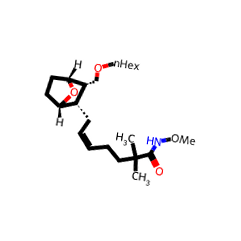 CCCCCCOC[C@@H]1[C@H](C/C=C\CCC(C)(C)C(=O)NOC)[C@@H]2CC[C@H]1O2